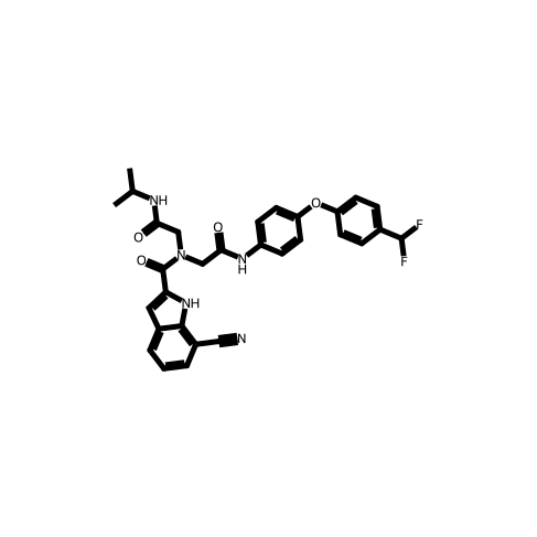 CC(C)NC(=O)CN(CC(=O)Nc1ccc(Oc2ccc(C(F)F)cc2)cc1)C(=O)c1cc2cccc(C#N)c2[nH]1